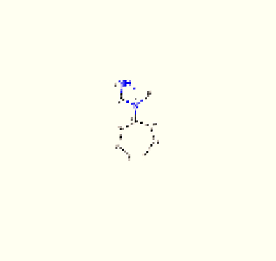 CN(CN)C1CCCCCC1